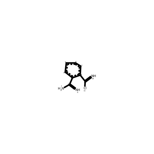 N=C(N)c1ccccc1C(=N)Cl